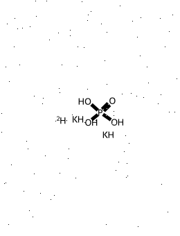 O=P(O)(O)O.[2H].[KH].[KH]